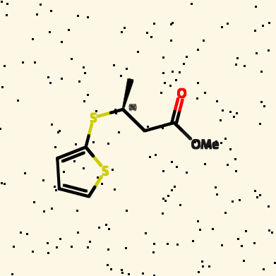 COC(=O)C[C@H](C)Sc1cccs1